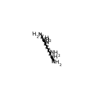 NCCNCC(N)CCCCCC(N)CNCCN